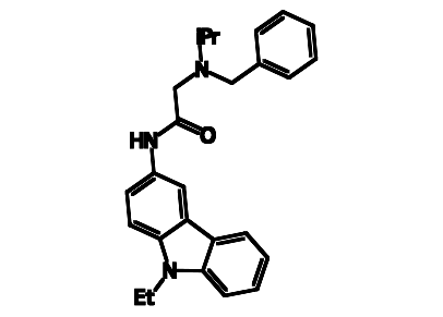 CCn1c2ccccc2c2cc(NC(=O)CN(Cc3ccccc3)C(C)C)ccc21